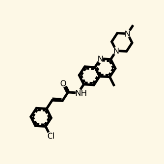 Cc1cc(N2CCN(C)CC2)nc2ccc(NC(=O)/C=C/c3cccc(Cl)c3)cc12